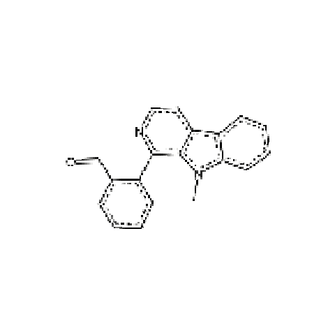 Cn1c2ccccc2c2ccnc(-c3ccccc3C=O)c21